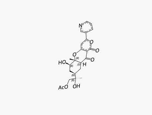 CC(=O)OC[C@](C)(O)[C@H]1C[C@@H](O)[C@]2(C)Oc3cc(-c4cccnc4)oc(=O)c3C(=O)[C@H]2C1